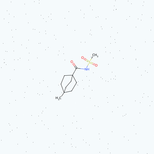 CC12CCC(C(=O)NS(C)(=O)=O)(CC1)CC2